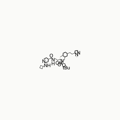 Cn1nccc1CCc1ccc2c(c1)CN(C(=O)OC(C)(C)C)[C@H]([C@H](O)CNC(=O)c1ccnc(NC3CCC3)c1)C2